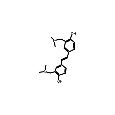 CN(C)Cc1cc(/C=C/c2ccc(O)c(CN(C)C)c2)ccc1O